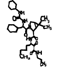 C=CCCC(NC(=O)C1C2C(CN1C(=O)C(NC(=O)NC1CCCCC1)C1CCCCC1)C2(C)C)C(=O)C(=O)NCC=C